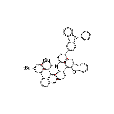 CC(C)(C)c1cc(-c2cccc3cccc(-c4ccccc4N(c4ccc(-c5ccc6c(c5)c5ccccc5n6-c5ccccc5)cc4)c4ccccc4-c4cccc5c4oc4ccccc45)c23)cc(C(C)(C)C)c1